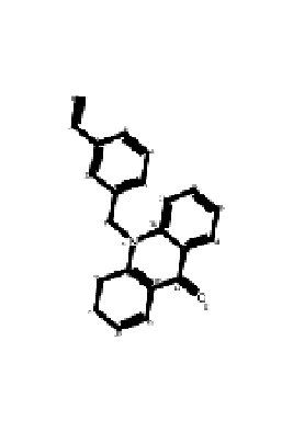 C=Cc1cccc(Cn2c3c(c(=O)c4ccccc42)C=CCC3)c1